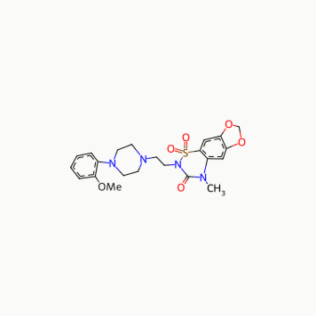 COc1ccccc1N1CCN(CCN2C(=O)N(C)c3cc4c(cc3S2(=O)=O)OCO4)CC1